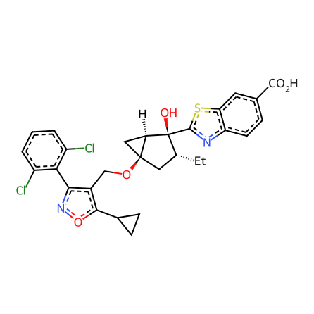 CC[C@@H]1C[C@]2(OCc3c(-c4c(Cl)cccc4Cl)noc3C3CC3)C[C@H]2[C@]1(O)c1nc2ccc(C(=O)O)cc2s1